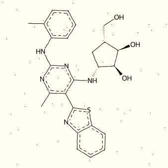 Cc1ccccc1Nc1nc(C)c(-c2nc3ccccc3s2)c(N[C@@H]2C[C@H](CO)[C@@H](O)[C@H]2O)n1